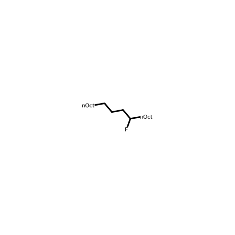 CCCCCCCCCCC[C](F)CCCCCCCC